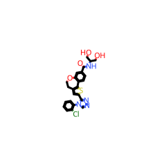 O=C(NC(CO)CO)c1ccc2c(c1)OCCc1cc(-c3nncn3-c3ccccc3Cl)sc1-2